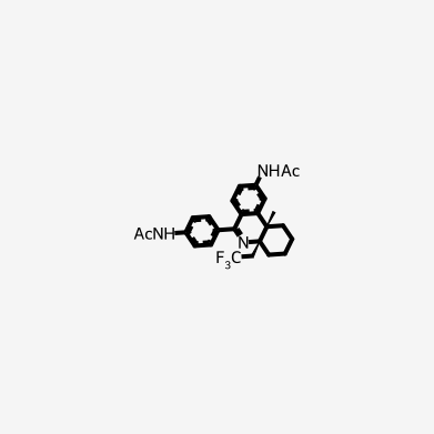 CC(=O)Nc1ccc(C2=N[C@@]3(CC(F)(F)F)CCCC[C@@]3(C)c3cc(NC(C)=O)ccc32)cc1